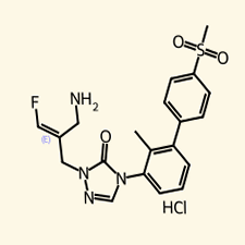 Cc1c(-c2ccc(S(C)(=O)=O)cc2)cccc1-n1cnn(C/C(=C/F)CN)c1=O.Cl